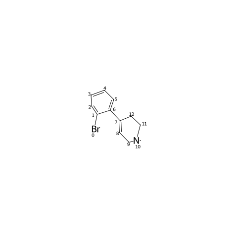 Brc1ccccc1C1=CC[N]CC1